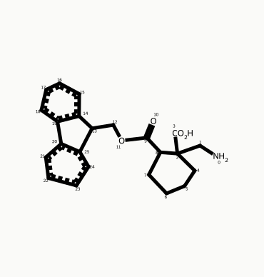 NCC1(C(=O)O)CCCCC1C(=O)OCC1c2ccccc2-c2ccccc21